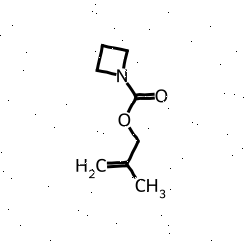 C=C(C)COC(=O)N1CCC1